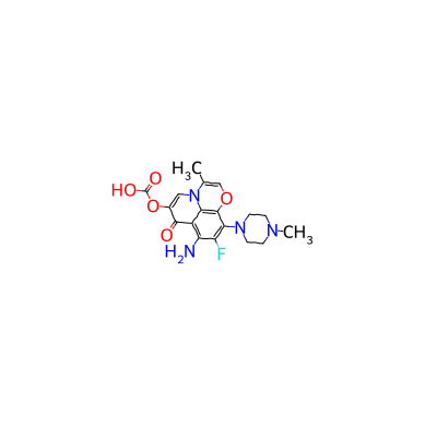 CC1=COc2c(N3CCN(C)CC3)c(F)c(N)c3c(=O)c(OC(=O)O)cn1c23